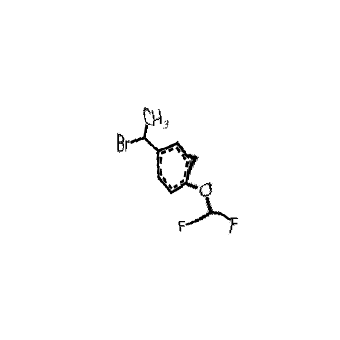 CC(Br)c1ccc(OC(F)F)cc1